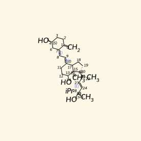 C=C1CC[C@H](O)C/C1=C/C=C1\CCC(O)[C@@]2(C)C1CC[C@@H]2[C@H](C)/C=C/[C@@](C)(O)C(C)C